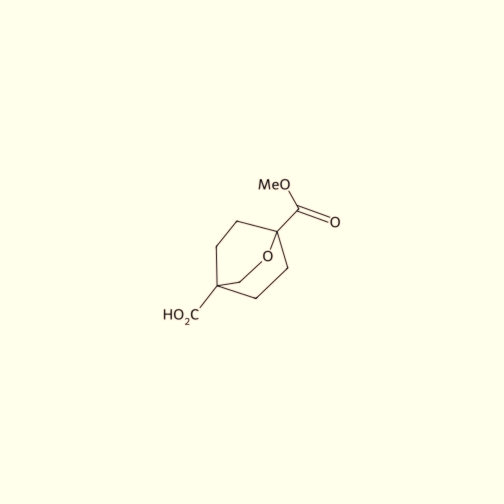 COC(=O)C12CCC(C(=O)O)(CC1)CO2